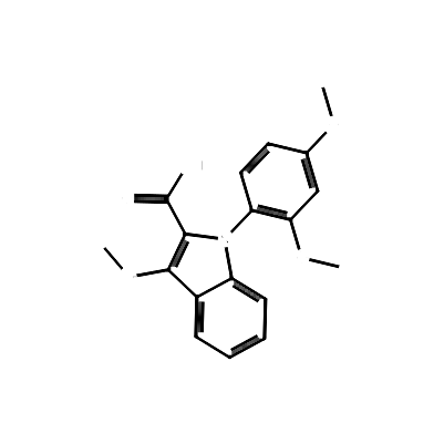 COc1ccc(-n2c(C(=O)O)c(OC)c3ccccc32)c(OC)c1